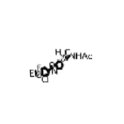 CCOc1c(F)cc(-c2nc3ccc(OC[C@H](C)NC(C)=O)cc3o2)cc1Cl